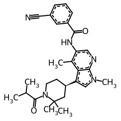 Cc1c(NC(=O)c2cccc(C#N)c2)cnc2c1c([C@@H]1CCN(C(=O)C(C)C)C(C)(C)C1)cn2C